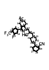 CC(=O)N1CCc2c(c(-c3ccc(C(F)(F)F)c(F)c3)nn2CC(O)CN2CCN(c3ccccc3C#N)CC2)C1